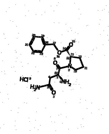 Cl.NC(=O)C[C@H](N)C(=O)N1CCC[C@H]1C(=O)OCc1ccccc1